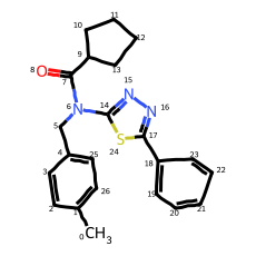 Cc1ccc(CN(C(=O)C2CCCC2)c2nnc(-c3ccccc3)s2)cc1